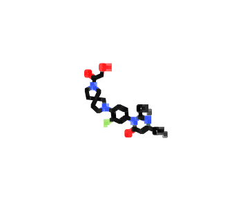 Cc1cc(=O)n(-c2ccc(N3CCC4(CCN(C(=O)CO)C4)C3)c(F)c2)c(C)n1